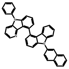 c1ccc(-n2c3cccnc3c3c(-c4cccc5c4c4ccccc4n5-c4ccc5ccccc5c4)cccc32)cc1